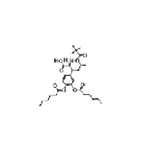 CCCCCC(=O)Oc1ccc(C(CC(C)OC(=O)C(C)(C)C)[C@H](N)C(=O)O)cc1OC(=O)CCCCC